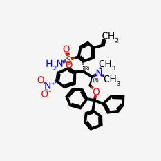 C=Cc1ccc(S(N)(=O)=O)c([C@@H](c2ccc([N+](=O)[O-])cc2)[C@H](COC(c2ccccc2)(c2ccccc2)c2ccccc2)N(C)C)c1